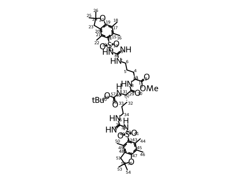 COC(=O)[C@H](CCCNC(=N)NS(=O)(=O)c1c(C)c(C)c2c(c1C)CC(C)(C)O2)NC(=O)[C@H](CCCNC(=N)NS(=O)(=O)c1c(C)c(C)c2c(c1C)CC(C)(C)O2)NC(=O)OC(C)(C)C